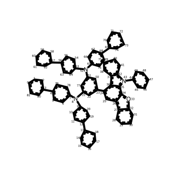 c1ccc(-c2ccc(N(c3ccc(-c4ccccc4)cc3)c3cc(-c4cc5c6ccccc6oc5c5c4c4ccccc4n5-c4ccccc4)cc(N(c4ccc(-c5ccccc5)cc4)c4ccc(-c5ccccc5)cc4)c3)cc2)cc1